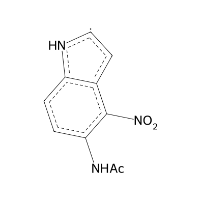 CC(=O)Nc1ccc2[nH][c]cc2c1[N+](=O)[O-]